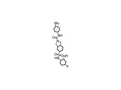 CCCc1cc(F)ccc1NS(=O)(=O)c1ccc2c(c1)CN(C(=O)Nc1ccc(C(C)(C)C)cc1)C2